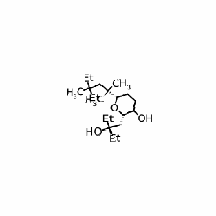 CCC(C)(CC)CC(C)(C)[C@@H]1CCC(O)[C@H](CC(O)(CC)CC)O1